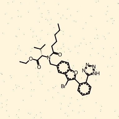 CCCCCC(=O)N(Cc1ccc2oc(-c3ccccc3-c3nnn[nH]3)c(Br)c2c1)[C@H](C(=O)OCC)C(C)C